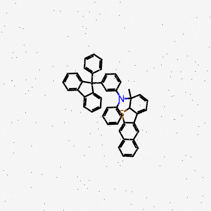 CC1(N(c2ccccc2)c2cccc(C3(c4ccccc4)c4ccccc4-c4ccccc43)c2)C=CC=C2c3cc4ccccc4cc3SC21